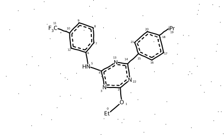 CCOc1nc(Nc2cccc(C(F)(F)F)c2)nc(-c2ccc(C(C)C)cc2)n1